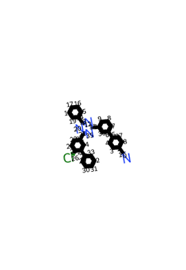 N#Cc1ccc(-c2cccc(-c3nc(-c4ccccc4)nc(-c4ccc(Cl)c(-c5ccccc5)c4)n3)c2)cc1